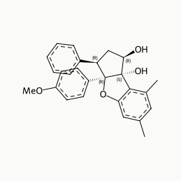 COc1ccc([C@@]23Oc4cc(C)cc(C)c4[C@]2(O)[C@H](O)C[C@@H]3c2ccccc2)cc1